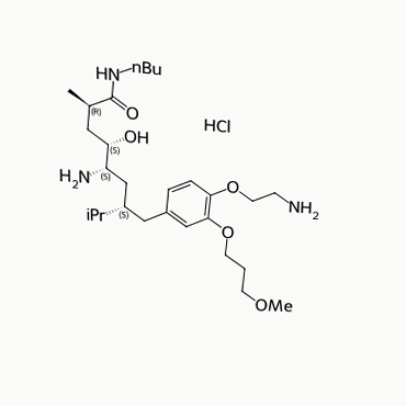 CCCCNC(=O)[C@H](C)C[C@H](O)[C@@H](N)C[C@H](Cc1ccc(OCCN)c(OCCCOC)c1)C(C)C.Cl